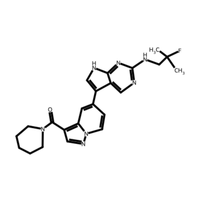 CC(C)(F)CNc1ncc2c(-c3ccn4ncc(C(=O)N5CCCCC5)c4c3)c[nH]c2n1